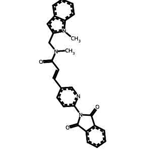 CN(Cc1cc2ccccc2n1C)C(=O)C=Cc1ccc(N2C(=O)c3ccccc3C2=O)nc1